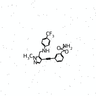 Cn1ncc(C#Cc2cccc(S(N)(=O)=O)c2)c1CNc1ccc(C(F)(F)F)cc1